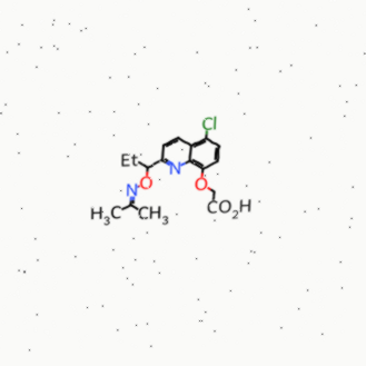 CCC(ON=C(C)C)c1ccc2c(Cl)ccc(OCC(=O)O)c2n1